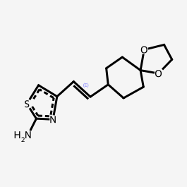 Nc1nc(/C=C/C2CCC3(CC2)OCCO3)cs1